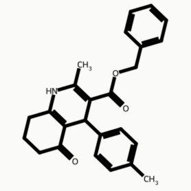 CC1=C(C(=O)OCc2ccccc2)C(c2ccc(C)cc2)C2=C(CCCC2=O)N1